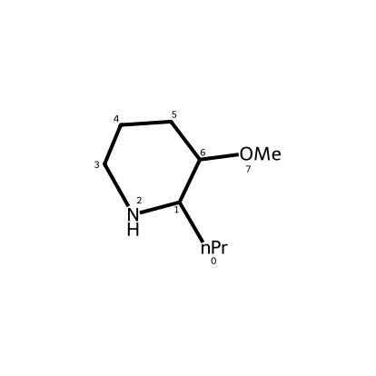 CCCC1NCCCC1OC